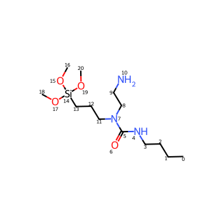 CCCCNC(=O)N(CCN)CCC[Si](OC)(OC)OC